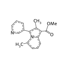 COC(=O)c1c(C)c(-c2cccnc2)n2c(C)cccc12